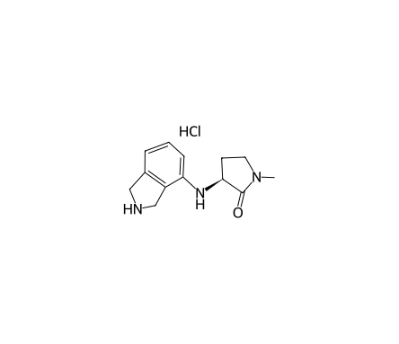 CN1CC[C@H](Nc2cccc3c2CNC3)C1=O.Cl